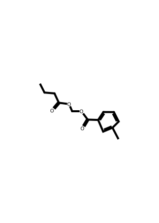 CCCC(=O)OCOC(=O)c1cccc(C)c1